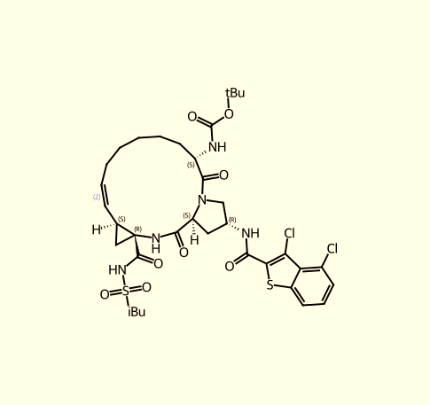 CCC(C)S(=O)(=O)NC(=O)[C@@]12C[C@H]1/C=C\CCCCC[C@H](NC(=O)OC(C)(C)C)C(=O)N1C[C@H](NC(=O)c3sc4cccc(Cl)c4c3Cl)C[C@H]1C(=O)N2